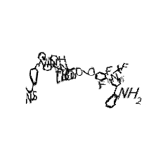 Cc1ncsc1-c1ccc(CNC(=O)[C@@H]2CCCN2C(=O)[C@@H](NC(=O)COCCOc2cc(F)c([C@@H]3C=C(c4ccccc4N)C[C@@H](C)N3CC(C)(C)F)c(F)c2)C(C)(C)C)cc1